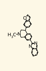 CN1Cc2cc(-c3ncc4ccccc4n3)ccc2C(c2ccc3ccoc3c2)C1